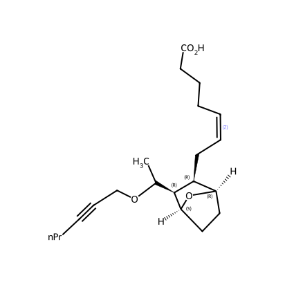 CCCC#CCOC(C)[C@H]1[C@@H](C/C=C\CCCC(=O)O)[C@H]2CC[C@@H]1O2